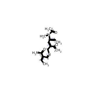 C=C(Cl)/C(=C\C(=C/C)N(C)C(C)=O)C/N=C\C(=C/C)C(N)=O